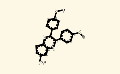 CCOc1ccc(-c2nc3ccc(C(=O)O)cc3nc2-c2ccc(OCC)cc2)cc1